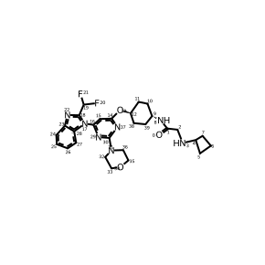 O=C(CNC1CCC1)N[C@H]1CC[C@H](Oc2cc(-n3c(C(F)F)nc4ccccc43)nc(N3CCOCC3)n2)CC1